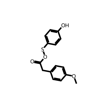 COc1ccc(CC(=O)OSc2ccc(O)cc2)cc1